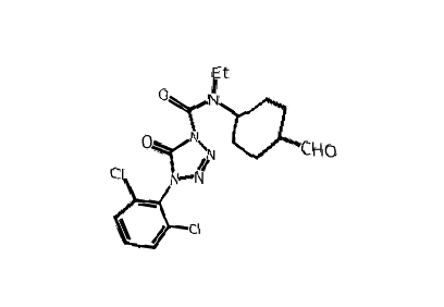 CCN(C(=O)n1nnn(-c2c(Cl)cccc2Cl)c1=O)C1CCC(C=O)CC1